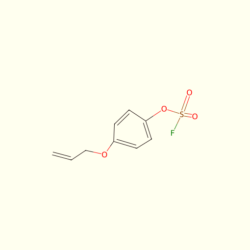 C=CCOc1ccc(OS(=O)(=O)F)cc1